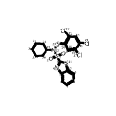 O=S(=O)(c1nc2ccccc2s1)N(Sc1cc(Cl)c(Cl)cc1Cl)C1CCCCC1